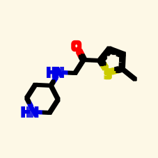 Cc1ccc(C(=O)CNC2CCNCC2)s1